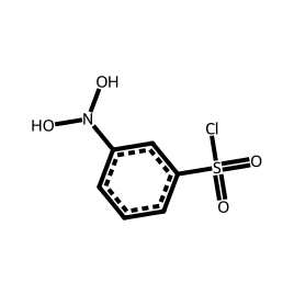 O=S(=O)(Cl)c1cccc(N(O)O)c1